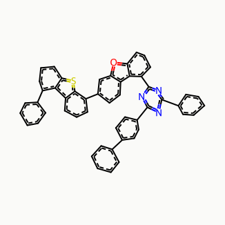 c1ccc(-c2ccc(-c3nc(-c4ccccc4)nc(-c4cccc5oc6cc(-c7cccc8c7sc7cccc(-c9ccccc9)c78)ccc6c45)n3)cc2)cc1